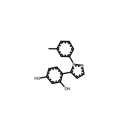 Cc1cccc(-n2nccc2-c2ccc(O)cc2O)c1